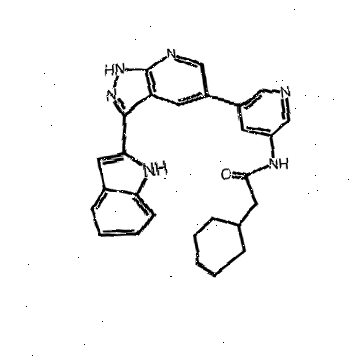 O=C(CC1CCCCC1)Nc1cncc(-c2cnc3[nH]nc(-c4cc5ccccc5[nH]4)c3c2)c1